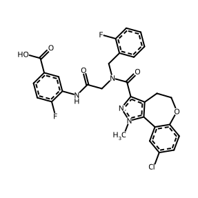 Cn1nc(C(=O)N(CC(=O)Nc2cc(C(=O)O)ccc2F)Cc2ccccc2F)c2c1-c1cc(Cl)ccc1OCC2